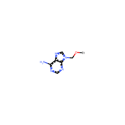 [CH2]COCn1cnc2c(N)ncnc21